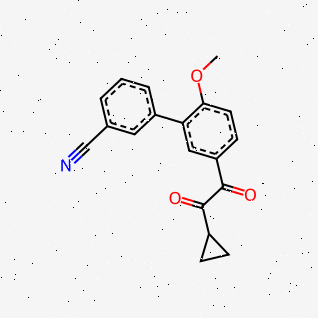 COc1ccc(C(=O)C(=O)C2CC2)cc1-c1cccc(C#N)c1